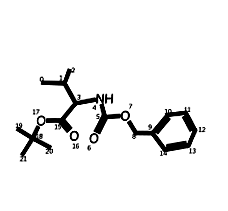 CC(C)C(NC(=O)OCc1ccccc1)C(=O)OC(C)(C)C